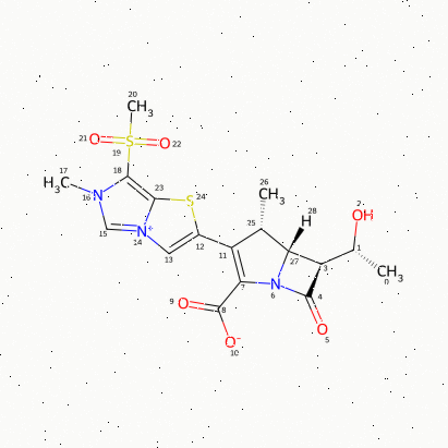 C[C@@H](O)[C@H]1C(=O)N2C(C(=O)[O-])=C(c3c[n+]4cn(C)c(S(C)(=O)=O)c4s3)[C@H](C)[C@H]12